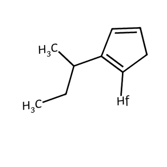 CCC(C)C1=[C]([Hf])CC=C1